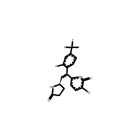 O=C1CC[C@H](/C=C(\c2ccc(Cl)c(=O)[nH]2)c2ccc(C(F)(F)F)cc2F)N1